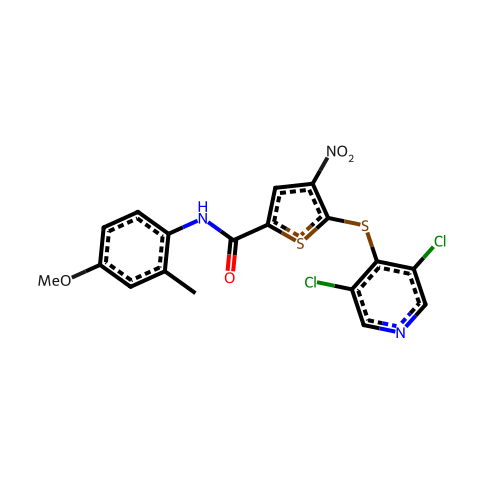 COc1ccc(NC(=O)c2cc([N+](=O)[O-])c(Sc3c(Cl)cncc3Cl)s2)c(C)c1